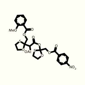 COc1ccccc1C(=O)OCC1(C(OC(C)=O)C(=O)OC2(COC(=O)c3ccc([N+](=O)[O-])cc3)OCCS2)OCCS1